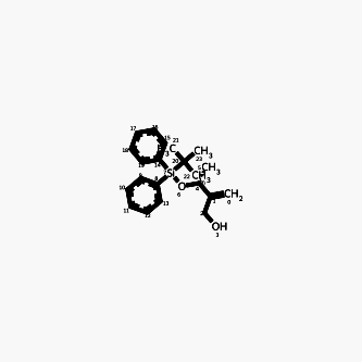 C=C(CO)[C@@H](C)O[Si](c1ccccc1)(c1ccccc1)C(C)(C)C